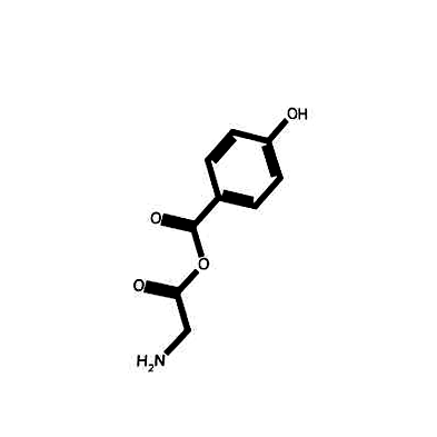 NCC(=O)OC(=O)c1ccc(O)cc1